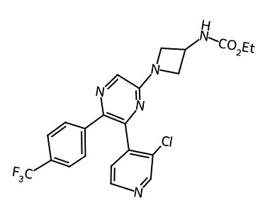 CCOC(=O)NC1CN(c2cnc(-c3ccc(C(F)(F)F)cc3)c(-c3ccncc3Cl)n2)C1